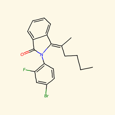 CCCC/C(C)=C1/c2ccccc2C(=O)N1c1ccc(Br)cc1F